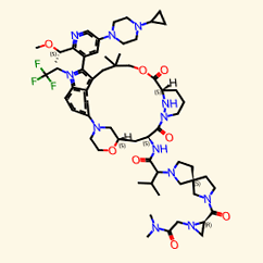 CO[C@@H](C)c1ncc(N2CCN(C3CC3)CC2)cc1-c1c2c3cc(ccc3n1CC(F)(F)F)N1CCO[C@@H](C[C@H](NC(=O)C(C(C)C)N3CC[C@]4(CCN(C(=O)[C@H]5CN5CC(=O)N(C)C)C4)C3)C(=O)N3CCC[C@H](N3)C(=O)OCC(C)(C)C2)C1